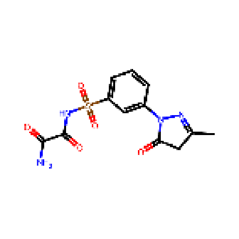 CC1=NN(c2cccc(S(=O)(=O)NC(=O)C(N)=O)c2)C(=O)C1